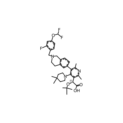 Cc1nc(C)c([C@H](OC(C)(C)C)C(=O)O)c(N2CCC(C)(C)CC2)c1-c1ccc2c(c1)CCN(Cc1ccc(OC(F)F)cc1F)C2